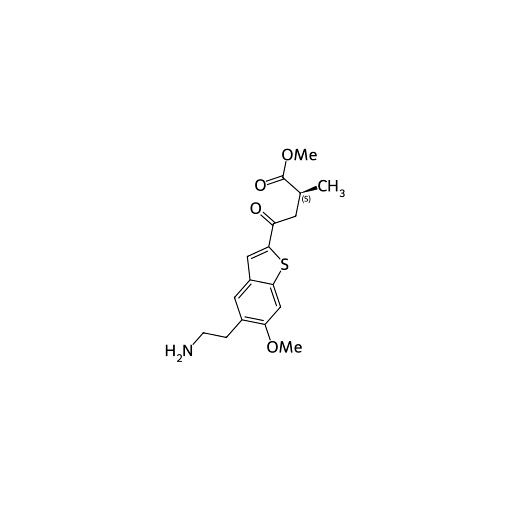 COC(=O)[C@@H](C)CC(=O)c1cc2cc(CCN)c(OC)cc2s1